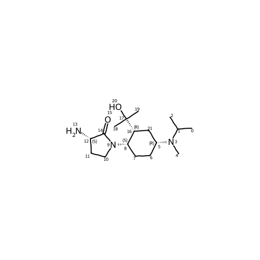 CC(C)N(C)[C@@H]1CC[C@H](N2CC[C@H](N)C2=O)[C@H](C(C)(C)O)C1